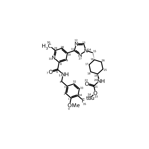 COc1cc(CNC(=O)c2cc(-c3ncn(C[C@H]4CC[C@H](NC(=O)OC(C)(C)C)CC4)n3)cc(C)n2)ccc1F